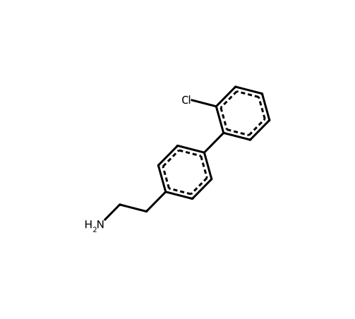 NCCc1ccc(-c2ccccc2Cl)cc1